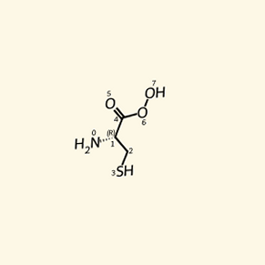 N[C@@H](CS)C(=O)OO